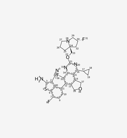 N#Cc1c(N)sc2c(F)ccc(-c3c4c(c5c(C6CC6)nc(OC[C@@]67CCCN6C[C@H](F)C7)nc5c3F)COC4)c12